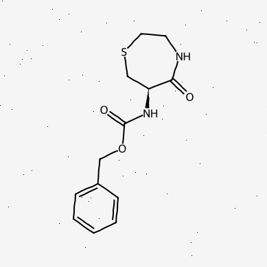 O=C(N[C@H]1CSCCNC1=O)OCc1ccccc1